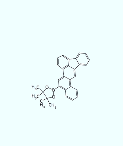 CC1(C)OB(c2cc3c4cccc5c4c(cc3c3ccccc23)-c2ccccc2-5)OC1(C)C